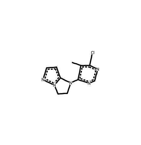 Cc1c(Cl)ncnc1N1CCn2nccc21